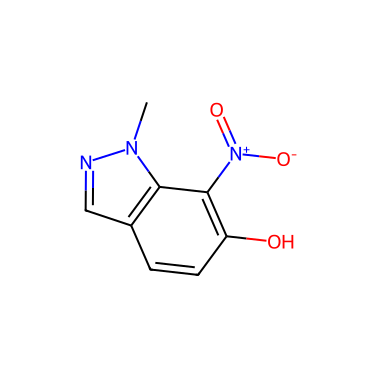 Cn1ncc2ccc(O)c([N+](=O)[O-])c21